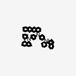 C1=CCC(Nc2ccc(N(c3ccc(N(c4ccccc4)c4cccc5ccccc45)cc3)c3cccc4cc5cc6ccccc6cc5cc34)cc2)(c2cccc3ccccc23)C=C1